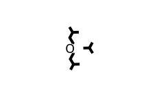 CC(C)C.CC(C)CCOCCC(C)C